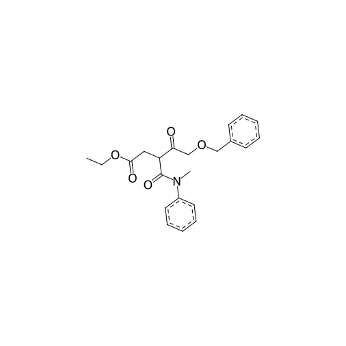 CCOC(=O)CC(C(=O)COCc1ccccc1)C(=O)N(C)c1ccccc1